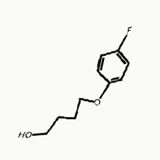 OCCCCOc1ccc(F)cc1